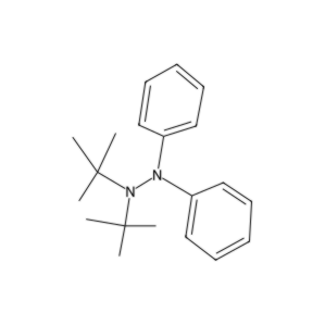 CC(C)(C)N(N(c1ccccc1)c1ccccc1)C(C)(C)C